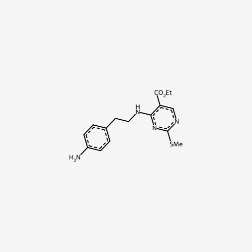 CCOC(=O)c1cnc(SC)nc1NCCc1ccc(N)cc1